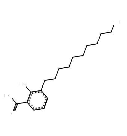 CCCCCCCCCCCc1cccc(C(=O)O)c1N